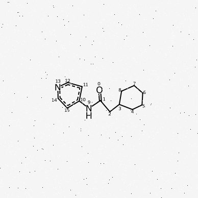 O=C(CC1CCCCC1)Nc1ccncc1